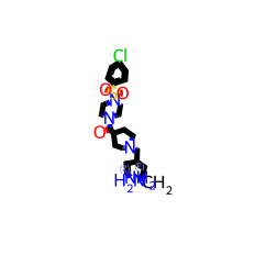 C=C(N)/C=C(\C=C/N)CN1CCC(C(=O)N2CCN(S(=O)(=O)c3ccc(Cl)cc3)CC2)CC1